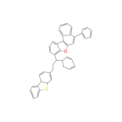 C1=CCC(C(CCC2=CC3Sc4ccccc4C3C=C2)c2cccc3c2oc2cc(-c4ccccc4)c4ccccc4c23)C=C1